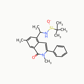 Cc1cc(C(C)N[S@+]([O-])C(C)(C)C)c2cc(-c3ccccc3)n(C)c(=O)c2c1